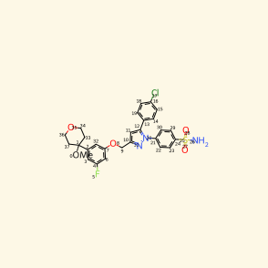 COC1(c2cc(F)cc(OCc3cc(-c4ccc(Cl)cc4)n(-c4ccc(S(N)(=O)=O)cc4)n3)c2)CCOCC1